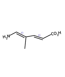 CC(/C=C/C(=O)O)=C\N